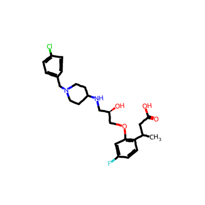 CC(CC(=O)O)c1ccc(F)cc1OC[C@H](O)CNC1CCN(Cc2ccc(Cl)cc2)CC1